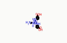 NCCNc1nc(Nc2cccc(C(=O)O)c2)nc(Nc2cccc(C(=O)O)c2)n1